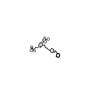 CN1CC(N2CCN(CCCC(=O)O)CC2CCCCC2CCN(Cc3ccccc3)CC2)OC1=O